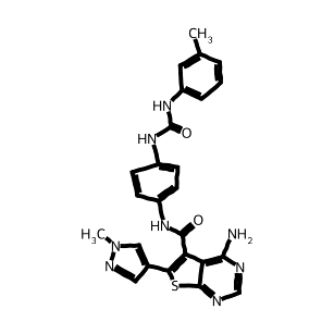 Cc1cccc(NC(=O)Nc2ccc(NC(=O)c3c(-c4cnn(C)c4)sc4ncnc(N)c34)cc2)c1